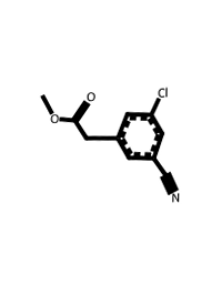 COC(=O)Cc1cc(Cl)cc(C#N)c1